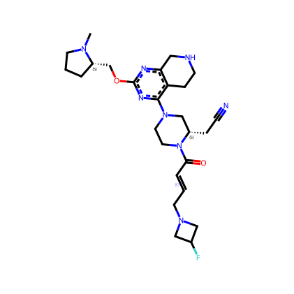 CN1CCC[C@H]1COc1nc2c(c(N3CCN(C(=O)/C=C/CN4CC(F)C4)[C@@H](CC#N)C3)n1)CCNC2